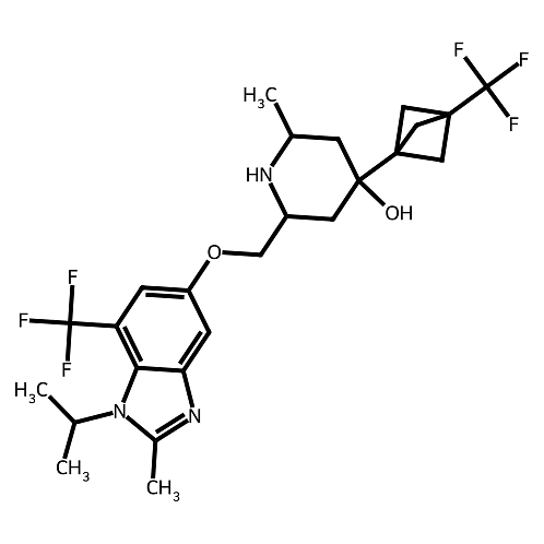 Cc1nc2cc(OCC3CC(O)(C45CC(C(F)(F)F)(C4)C5)CC(C)N3)cc(C(F)(F)F)c2n1C(C)C